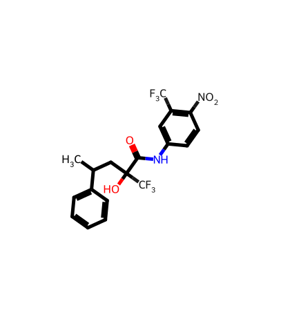 CC(CC(O)(C(=O)Nc1ccc([N+](=O)[O-])c(C(F)(F)F)c1)C(F)(F)F)c1ccccc1